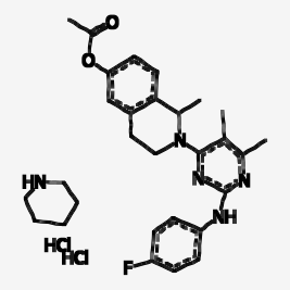 C1CCNCC1.CC(=O)Oc1ccc2c(c1)CCN(c1nc(Nc3ccc(F)cc3)nc(C)c1C)C2C.Cl.Cl